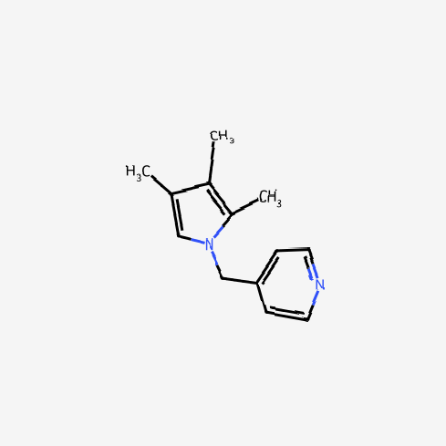 Cc1cn(Cc2ccncc2)c(C)c1C